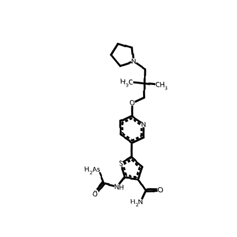 CC(C)(COc1ccc(-c2cc(C(N)=O)c(NC(=O)[AsH2])s2)cn1)CN1CCCC1